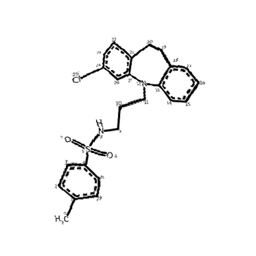 Cc1ccc(S(=O)(=O)NCCCN2c3ccccc3CCc3ccc(Cl)cc32)cc1